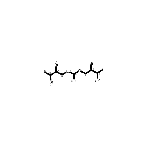 CC(Br)C(Br)COC(=O)OCC(Br)C(C)Br